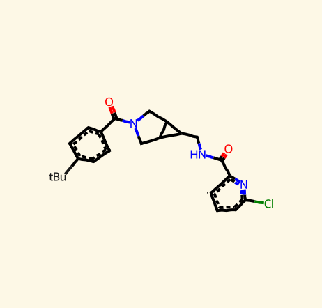 CC(C)(C)c1ccc(C(=O)N2CC3C(CNC(=O)c4[c]ccc(Cl)n4)C3C2)cc1